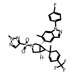 Cc1cc2c(cnn2-c2ccc(F)cc2)cc1[C@@]12CN(S(=O)(=O)c3cnn(C)n3)C[C@@H]1[C@@H]2C1(C)C=CC(C(F)(F)F)=CC1